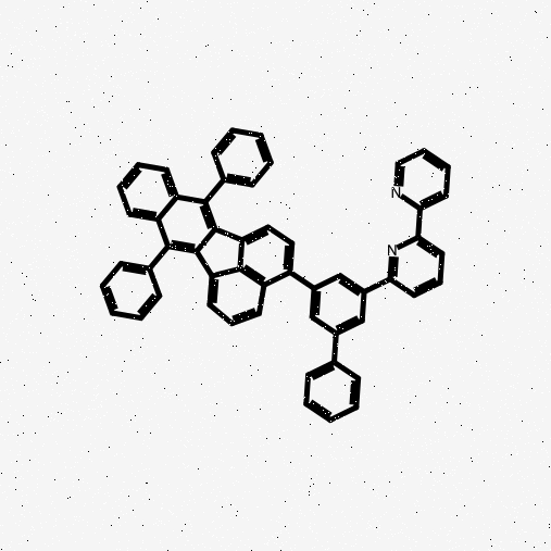 c1ccc(-c2cc(-c3cccc(-c4ccccn4)n3)cc(-c3ccc4c5c(cccc35)-c3c-4c(-c4ccccc4)c4ccccc4c3-c3ccccc3)c2)cc1